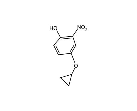 O=[N+]([O-])c1cc(OC2CC2)ccc1O